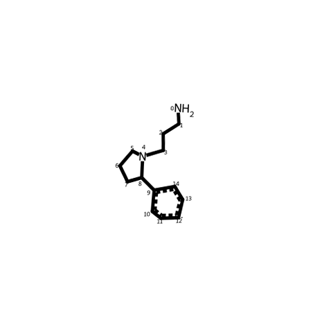 NCCCN1CCCC1c1cc[c]cc1